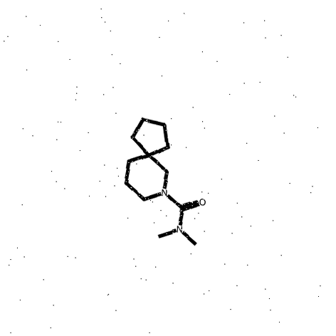 CN(C)C(=O)N1CCCC2(CCCC2)C1